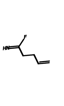 C=CCCC(=N)F